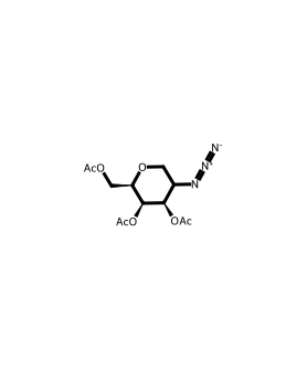 CC(=O)OC[C@H]1OCC(N=[N+]=[N-])[C@@H](OC(C)=O)[C@H]1OC(C)=O